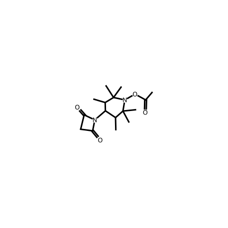 CC(=O)ON1C(C)(C)C(C)C(N2C(=O)CC2=O)C(C)C1(C)C